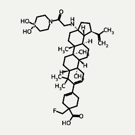 C=C(C)[C@@H]1CC[C@]2(NCC(=O)N3CCS(O)(O)CC3)CC[C@]3(C)[C@H](CC[C@@H]4[C@@]5(C)CC=C(C6=CCC(CF)(C(=O)O)CC6)C(C)(C)[C@@H]5CC[C@]43C)[C@@H]12